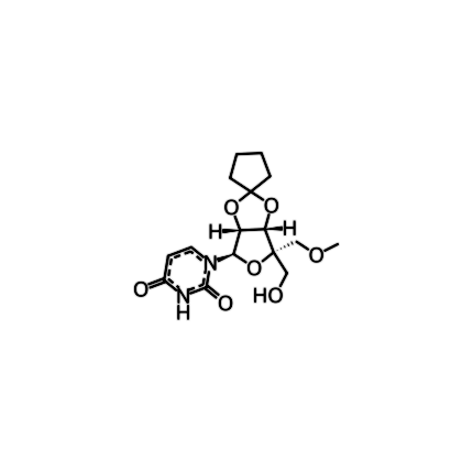 COC[C@]1(CO)O[C@@H](n2ccc(=O)[nH]c2=O)[C@@H]2OC3(CCCC3)O[C@@H]21